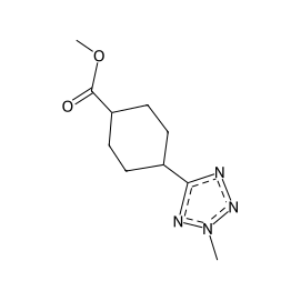 COC(=O)C1CCC(c2nnn(C)n2)CC1